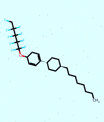 CCCCCCCC[C@H]1CC[C@H](C2=CCC(OC(F)(F)C(F)(F)C(F)(F)C(F)(F)CF)C=C2)CC1